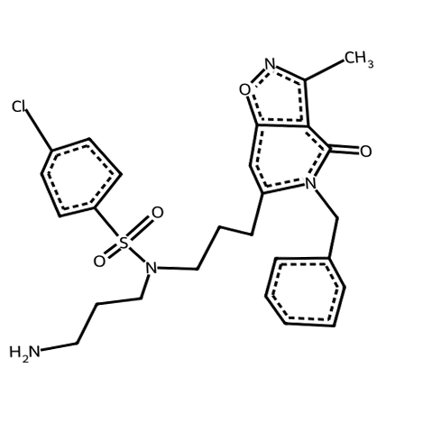 Cc1noc2cc(CCCN(CCCN)S(=O)(=O)c3ccc(Cl)cc3)n(Cc3ccccc3)c(=O)c12